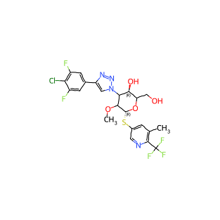 COC1C(n2cc(-c3cc(F)c(Cl)c(F)c3)nn2)[C@@H](O)C(CO)O[C@@H]1Sc1cnc(C(F)(F)F)c(C)c1